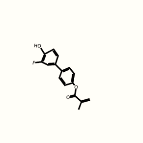 C=C(C)C(=O)Oc1ccc(-c2ccc(O)c(F)c2)cc1